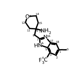 Cc1cc(C(F)(F)F)c2[nH]c(CC3(N)CCOCC3)nc2c1